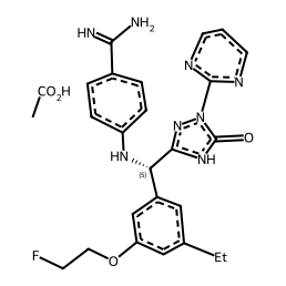 CC(=O)O.CCc1cc(OCCF)cc([C@H](Nc2ccc(C(=N)N)cc2)c2nn(-c3ncccn3)c(=O)[nH]2)c1